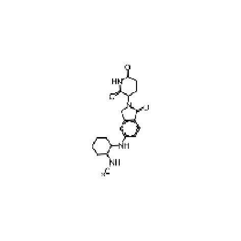 CNC1CCCCC1Nc1ccc2c(c1)CN(C1CCC(=O)NC1=O)C2=O